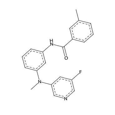 Cc1cccc(C(=O)Nc2cccc(N(C)c3cncc(F)c3)c2)c1